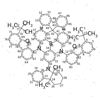 CC(C)(C)c1cccc2c1oc1c(N3c4cc(N5c6ccccc6C6(C)CCCCC56C)cc5c4B4c6c3cccc6C(c3ccccc3)(c3ccccc3)c3cccc(c34)N5c3cccc4c3oc3c(C(C)(C)C)cccc34)cccc12